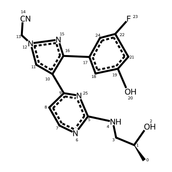 C[C@H](O)CNc1nccc(-c2cn(CC#N)nc2-c2cc(O)cc(F)c2)n1